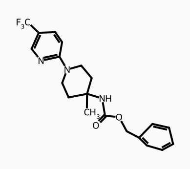 CC1(NC(=O)OCc2ccccc2)CCN(c2ccc(C(F)(F)F)cn2)CC1